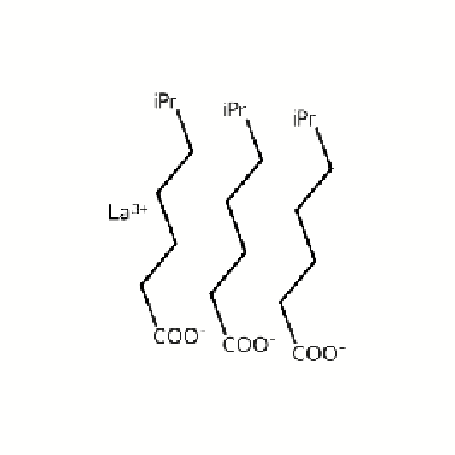 CC(C)CCCCC(=O)[O-].CC(C)CCCCC(=O)[O-].CC(C)CCCCC(=O)[O-].[La+3]